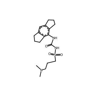 CN(C)CCCS(=O)(=O)NC(=O)Nc1c2c(cc3c1CCC3)CCC2